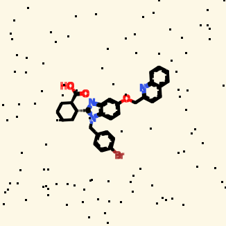 O=C(O)[C@@H]1CCCC[C@H]1c1nc2cc(OCc3ccc4ccccc4n3)ccc2n1Cc1ccc(Br)cc1